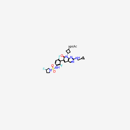 CC(=O)N[C@H]1C[C@H](n2c(=O)c(-c3c(F)ccc(NS(=O)(=O)N4CC[C@@H](F)C4)c3F)cc3cnc(NCC4CC4)nc32)C1